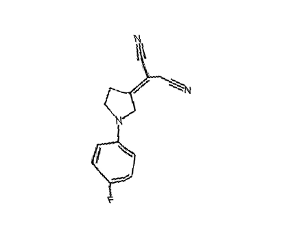 N#CC(C#N)=C1CCN(c2ccc(F)cc2)C1